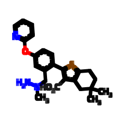 CN(N)Cc1cc(Oc2ccccn2)ccc1-c1sc2c(c1C(=O)O)CC(C)(C)CC2